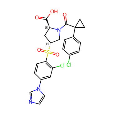 O=C(O)[C@@H]1C[C@@H](S(=O)(=O)c2ccc(-n3ccnc3)cc2Cl)CN1C(=O)C1(c2ccc(Cl)cc2)CC1